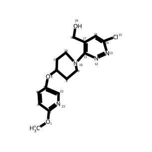 COc1ccc(OC2CCN(c3nnc(Cl)cc3CO)CC2)cn1